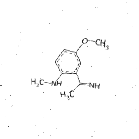 CNc1ccc(OC)cc1C(C)=N